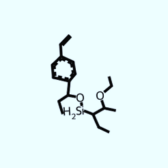 C=Cc1ccc(C(CC)O[SiH2]C(CC)C(C)OCC)cc1